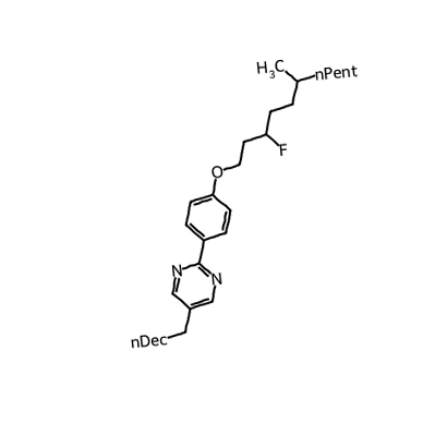 CCCCCCCCCCCc1cnc(-c2ccc(OCCC(F)CCC(C)CCCCC)cc2)nc1